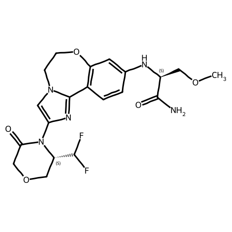 COC[C@H](Nc1ccc2c(c1)OCCn1cc(N3C(=O)COC[C@H]3C(F)F)nc1-2)C(N)=O